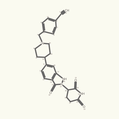 C#Cc1ccc(CN2CCC(c3ccc4c(=O)n(C5CCC(=O)NC5=O)[nH]c4c3)CC2)cc1